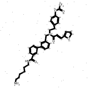 NCCCCCCNC(=O)c1cccc(-c2cccc(CN(CCc3ccc(OC(=O)C(F)(F)F)cc3)C(=O)/C=C/c3ccco3)c2)c1